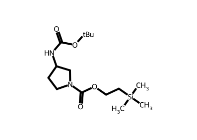 CC(C)(C)OC(=O)NC1CCN(C(=O)OCC[Si](C)(C)C)C1